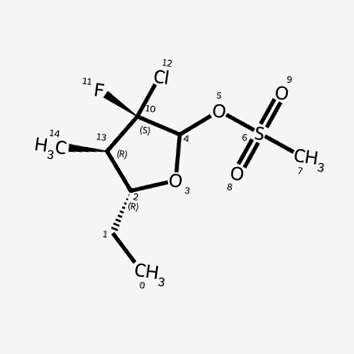 CC[C@H]1OC(OS(C)(=O)=O)[C@@](F)(Cl)[C@@H]1C